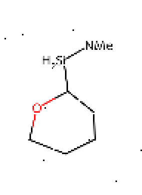 CN[SiH2]C1CCCCO1